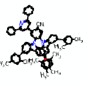 Cc1ccc(-c2ccc3c(c2)c2cc(-c4ccc(C)cc4C)ccc2n3-c2cc(C#N)c(-c3cc(-c4ccccc4)nc(-c4ccccc4)c3)cc2-n2c3ccc(-c4ccc(C)cc4C)cc3c3cc(-c4ccc(C)cc4C)ccc32)c(C)c1